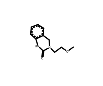 COCCN1Cc2ccccc2NC1=O